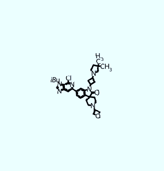 CC[C@H](C)n1cnc2cc(-c3ccc4c(c3)N(C3CC(N5CCC(C)(C)C5)C3)C(=O)C43CCN(C4COC4)CC3)nc(Cl)c21